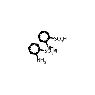 Nc1ccccc1S(=O)(=O)O.Nc1ccccc1S(=O)(=O)O